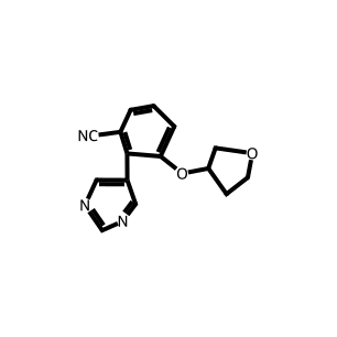 N#Cc1cccc(OC2CCOC2)c1-c1cncnc1